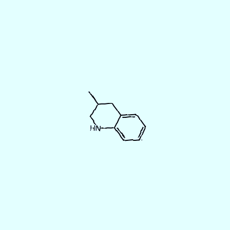 CC1CNc2c[c]ccc2C1